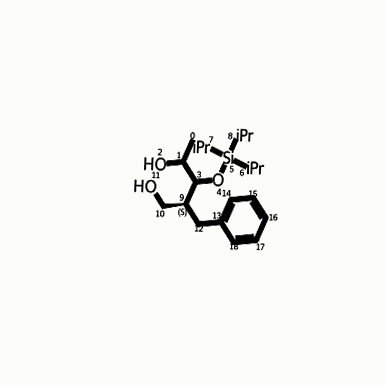 CC(O)C(O[Si](C(C)C)(C(C)C)C(C)C)[C@H](CO)Cc1ccccc1